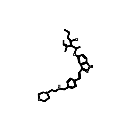 C/C=C(C)\C(=C(\Cl)CCC)C(C)Oc1ccc2[nH]nc(/C=C/c3ccc(CNCCN4CCOCC4)cc3)c2c1